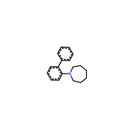 c1ccc(-c2ccccc2N2CCCCCC2)cc1